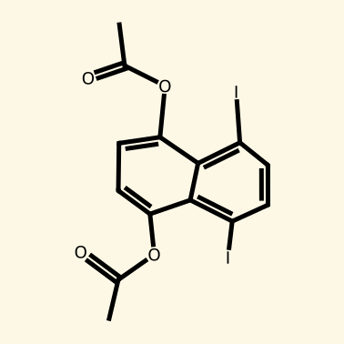 CC(=O)Oc1ccc(OC(C)=O)c2c(I)ccc(I)c12